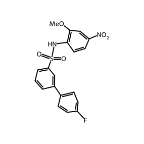 COc1cc([N+](=O)[O-])ccc1NS(=O)(=O)c1cccc(-c2ccc(F)cc2)c1